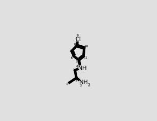 CC(N)CNc1ccc(Cl)cc1